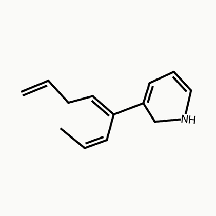 C=CC/C=C(\C=C/C)C1=CC=CNC1